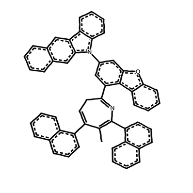 CC1=C(c2cccc3ccccc23)N=C(c2cc(-n3c4ccccc4c4cc5ccccc5cc43)cc3oc4ccccc4c23)CC=C1c1cccc2ccccc12